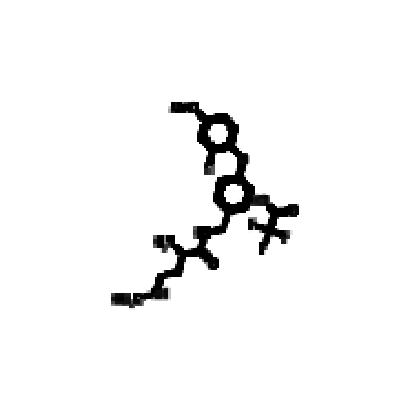 COc1ccc(Oc2ccc(CNC(=O)C(N)CCNC(=O)O)cc2)c(Cl)c1.O=C(O)C(F)(F)F